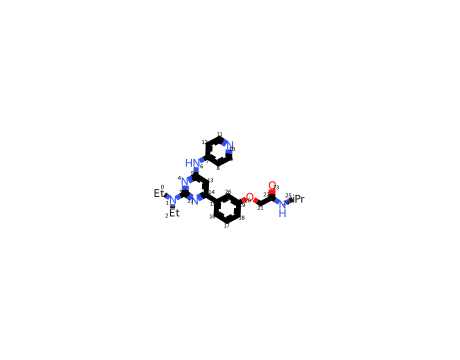 CCN(CC)c1nc(Nc2ccncc2)cc(-c2cccc(OCC(=O)NC(C)C)c2)n1